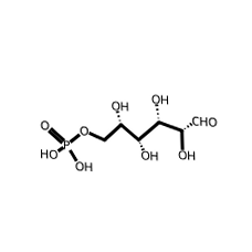 O=C[C@H](O)[C@@H](O)[C@H](O)[C@@H](O)COP(=O)(O)O